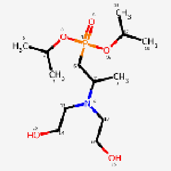 CC(C)OP(=O)(CC(C)N(CCO)CCO)OC(C)C